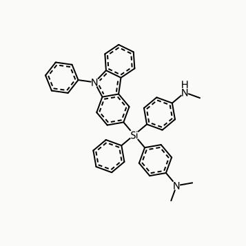 CNc1ccc([Si](c2ccccc2)(c2ccc(N(C)C)cc2)c2ccc3c(c2)c2ccccc2n3-c2ccccc2)cc1